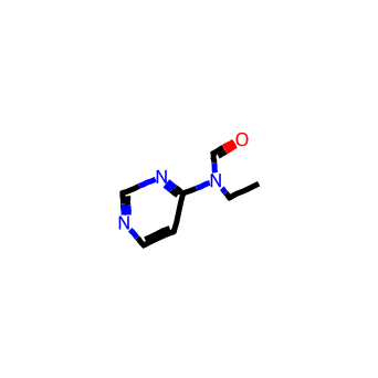 CCN(C=O)c1ccncn1